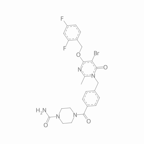 Cc1nc(OCc2ccc(F)cc2F)c(Br)c(=O)n1Cc1ccc(C(=O)N2CCN(C(N)=O)CC2)cc1